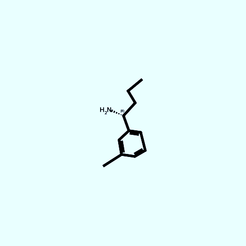 CCC[C@@H](N)c1cccc(C)c1